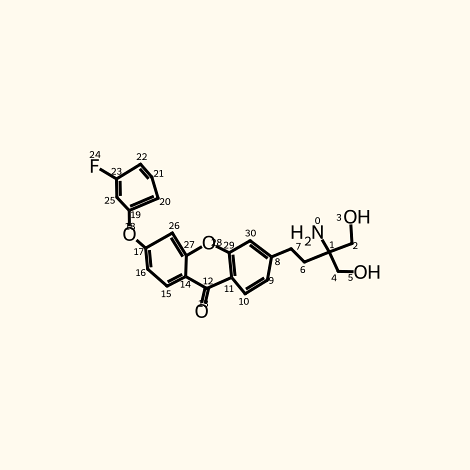 NC(CO)(CO)CCc1ccc2c(=O)c3ccc(Oc4cccc(F)c4)cc3oc2c1